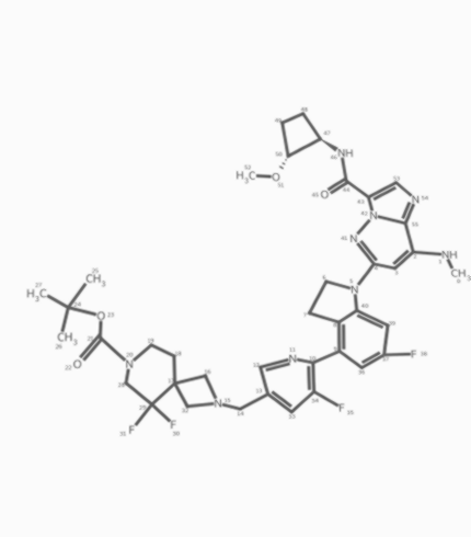 CNc1cc(N2CCc3c(-c4ncc(CN5CC6(CCN(C(=O)OC(C)(C)C)CC6(F)F)C5)cc4F)cc(F)cc32)nn2c(C(=O)N[C@@H]3CC[C@H]3OC)cnc12